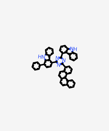 c1ccc(-c2ccc(-c3nc(-c4cccc5c4ccc4ccc6ccccc6c45)nc(-c4cccc5[nH]c6ccccc6c45)n3)c3c2[nH]c2ccccc23)cc1